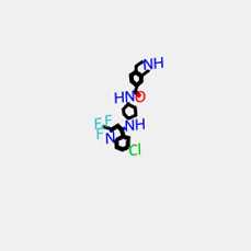 O=C(NC1CCC(Nc2cc(C(F)(F)F)nc3ccc(Cl)cc23)CC1)c1ccc2c(c1)CNCC2